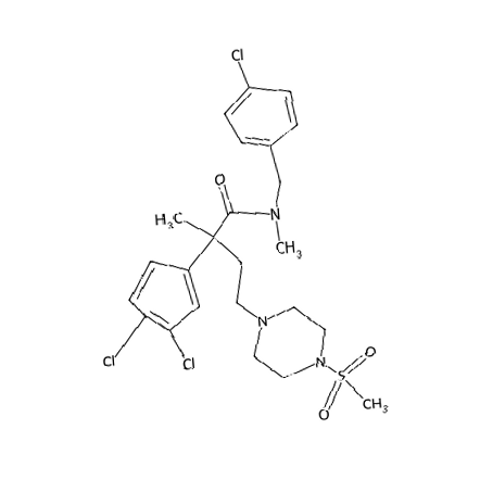 CN(Cc1ccc(Cl)cc1)C(=O)C(C)(CCN1CCN(S(C)(=O)=O)CC1)c1ccc(Cl)c(Cl)c1